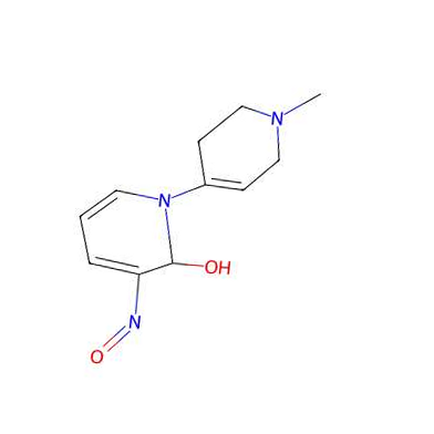 CN1CC=C(N2C=CC=C(N=O)C2O)CC1